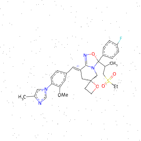 CCS(=O)(=O)CC(C)C1(c2ccc(F)cc2)ON=C2/C(=C/c3ccc(-n4cnc(C)c4)c(OC)c3)CC3(CCO3)CN21